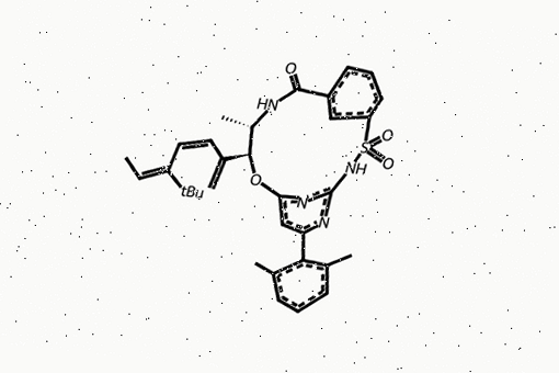 C=C(/C=C\C(=C/C)C(C)(C)C)[C@@H]1Oc2cc(-c3c(C)cccc3C)nc(n2)NS(=O)(=O)c2cccc(c2)C(=O)N[C@H]1C